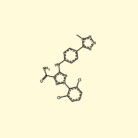 Cn1nnnc1-c1ccc(Nc2nn(-c3c(Cl)cccc3Cl)nc2C(N)=O)cc1